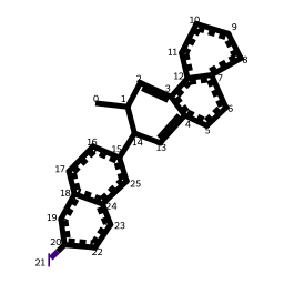 CC1C=c2c(ccc3ccccc23)=CC1c1ccc2cc(I)ccc2c1